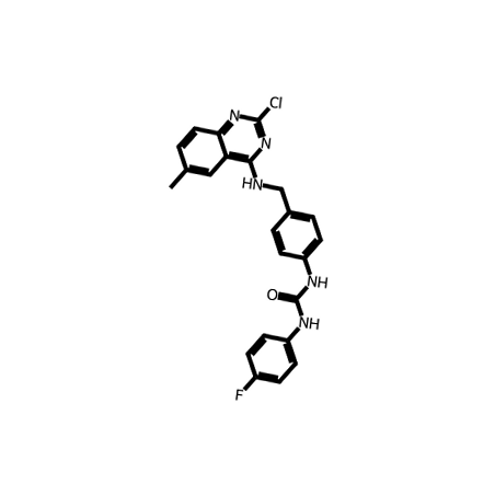 Cc1ccc2nc(Cl)nc(NCc3ccc(NC(=O)Nc4ccc(F)cc4)cc3)c2c1